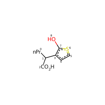 CCCC(C(=O)O)c1ccsc1O